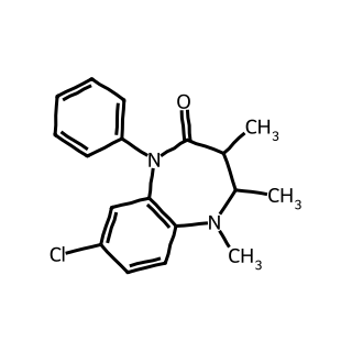 CC1C(=O)N(c2ccccc2)c2cc(Cl)ccc2N(C)C1C